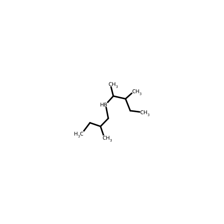 CCC(C)CBC(C)C(C)CC